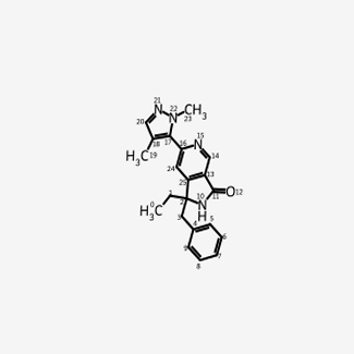 CCC1(Cc2ccccc2)NC(=O)c2cnc(-c3c(C)cnn3C)cc21